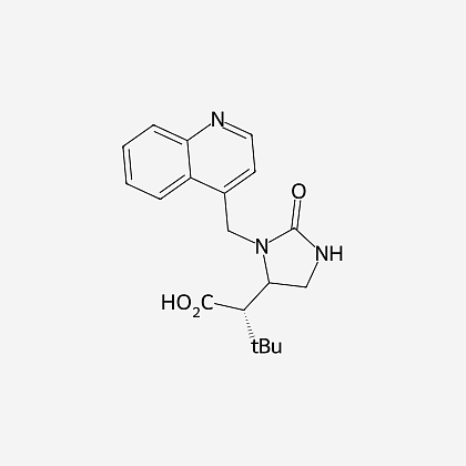 CC(C)(C)[C@H](C(=O)O)C1CNC(=O)N1Cc1ccnc2ccccc12